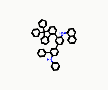 c1ccc(Nc2ccc(-c3ccc(Nc4cccc5ccccc45)c(-c4cccc5c4-c4ccccc4C5(c4ccccc4)c4ccccc4)c3)cc2-c2ccccc2)cc1